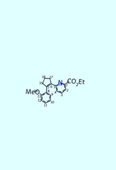 CCOC(=O)c1cccc(C2=C(c3ccccc3OC)CCC2)n1